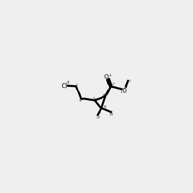 COC(=O)C1C(CCCl)C1(C)C